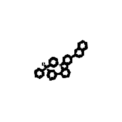 O=P(c1ccccc1)(c1ccccc1)c1cncc(-c2cccc3c2sc2ccc(-c4ccc5ccccc5c4)cc23)c1